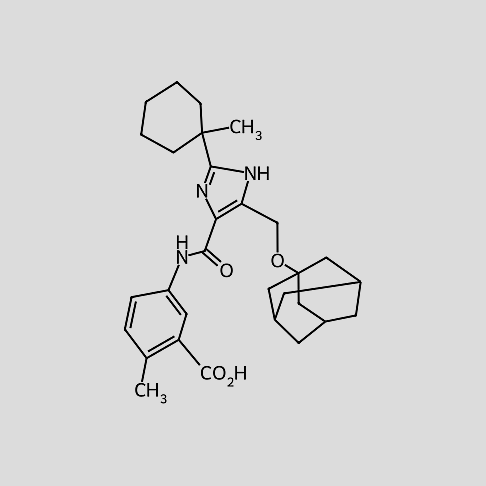 Cc1ccc(NC(=O)c2nc(C3(C)CCCCC3)[nH]c2COC23CC4CC(CC(C4)C2)C3)cc1C(=O)O